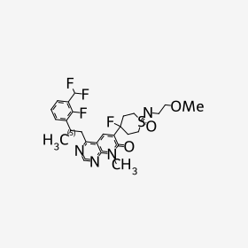 COCCN=S1(=O)CCC(F)(c2cc3c(C[C@H](C)c4cccc(C(F)F)c4F)ncnc3n(C)c2=O)CC1